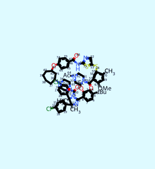 CCOc1cc(C(C)(C)C)ccc1C1=N[C@@](C)(c2ccc(Cl)cc2)[C@@](C)(c2ccc(Cl)cc2)N1C(=O)N1CCN([C@H]2CCCCC(Oc3ccc(C(=O)Nc4ncc(Sc5cc(C(=O)N6CCN(C(C)=O)CC6)c(OC)cc5C)s4)cc3)C2)CC1